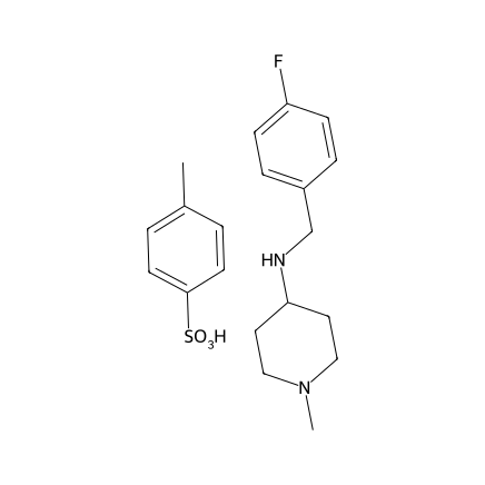 CN1CCC(NCc2ccc(F)cc2)CC1.Cc1ccc(S(=O)(=O)O)cc1